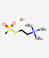 CCCC[N+](CCCC)(CCCC)CCSS(C)(=O)=O.[Br-]